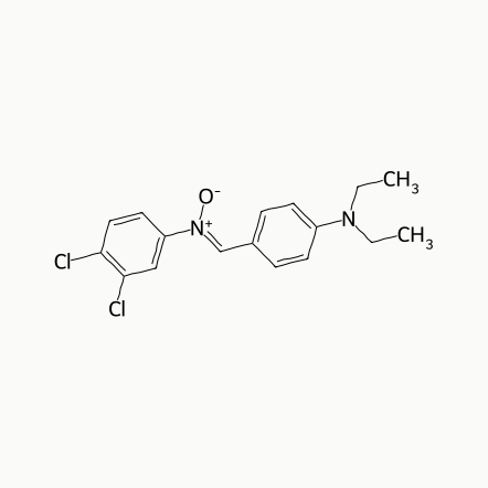 CCN(CC)c1ccc(C=[N+]([O-])c2ccc(Cl)c(Cl)c2)cc1